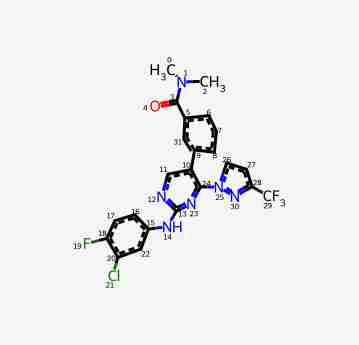 CN(C)C(=O)c1cccc(-c2cnc(Nc3ccc(F)c(Cl)c3)nc2-n2ccc(C(F)(F)F)n2)c1